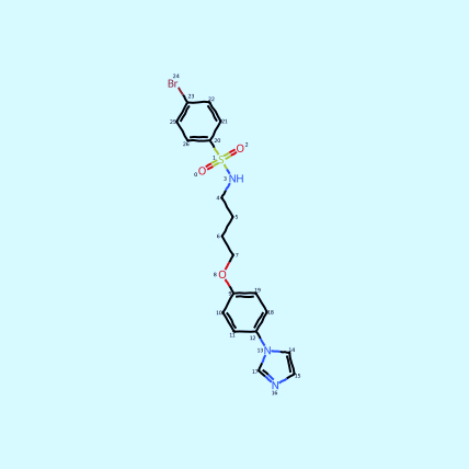 O=S(=O)(NCCCCOc1ccc(-n2ccnc2)cc1)c1ccc(Br)cc1